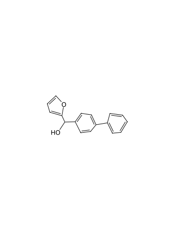 OC(c1ccc(-c2ccccc2)cc1)c1ccco1